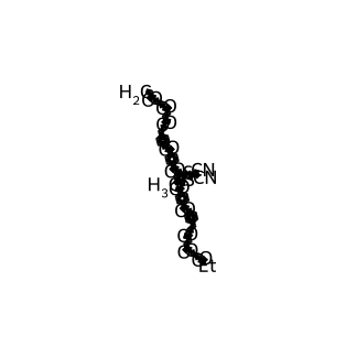 C=CC(=O)OCCOC(=O)CCC(=O)OCCc1ccc(OC(=O)C2CCC(C(=O)Oc3cc(C)c(OC(=O)C4CCC(C(=O)Oc5ccc(CCOC(=O)CCC(=O)OCCOC(=O)CC)cc5)CC4)c4c3SC(=C(C#N)C#N)S4)CC2)cc1